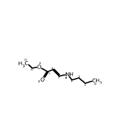 CCCCN/C=C/C(=O)OCC